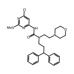 CSc1nc(Cl)cc(NC(=O)N(CCC(c2ccccc2)c2ccccc2)CCN2CCOCC2)n1